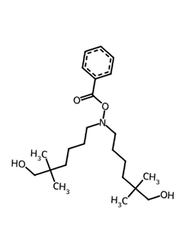 CC(C)(CO)CCCCN(CCCCC(C)(C)CO)OC(=O)c1ccccc1